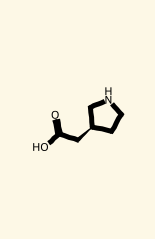 O=C(O)C[C@@H]1CCNC1